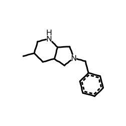 CC1CNC2CN(Cc3ccccc3)CC2C1